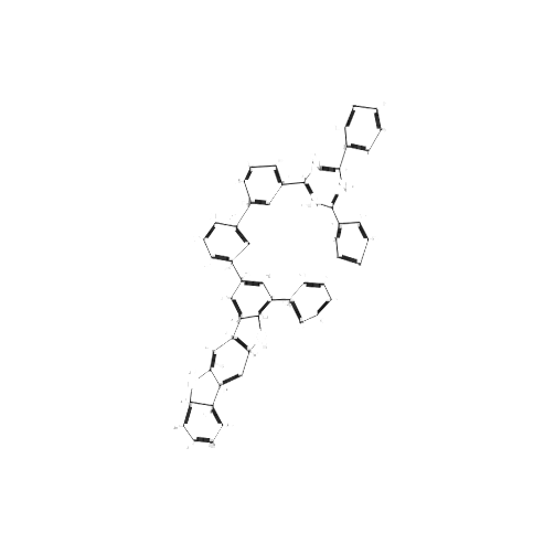 c1ccc(-c2nc(-c3ccccc3)nc(-c3cccc(-c4cccc(-c5cc(-c6ccccc6)c6oc7cc8c(cc7c6c5)oc5ccccc58)c4)c3)n2)cc1